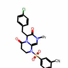 CC(C)N1C=C2N(C(=O)CCN2S(=O)(=O)c2cccc(C#N)c2)C(Cc2ccc(Cl)cc2)C1=O